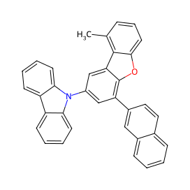 Cc1cccc2oc3c(-c4ccc5ccccc5c4)cc(-n4c5ccccc5c5ccccc54)cc3c12